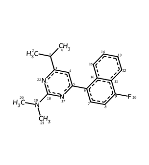 CC(C)c1cc(-c2ccc(F)c3ccccc23)nc(N(C)C)n1